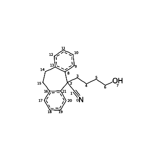 N#CC1(CCCCO)c2ccccc2CCc2ccccc21